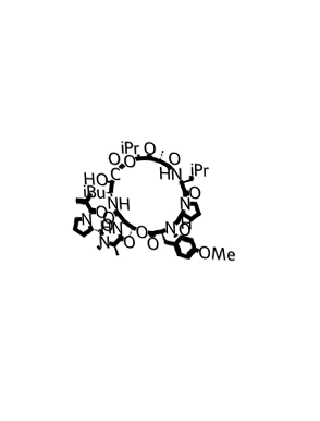 C=C(C)C(=O)N1CCC[C@H]1C(=O)N(C)[C@H](C)C(=O)N[C@@H]1C(=O)N[C@H]([C@@H](C)CC)[C@@H](O)CC(=O)O[C@@H](C(C)C)C(=O)[C@H](C)C(=O)N[C@@H](CC(C)C)C(=O)N2CCC[C@H]2C(=O)N(C)[C@@H](Cc2ccc(OC)cc2)C(=O)O[C@@H]1C